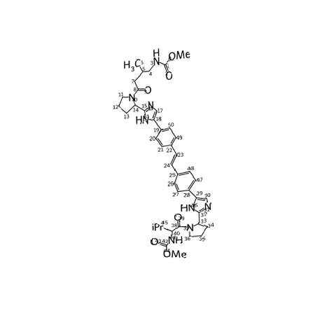 COC(=O)NCC(C)CC(=O)N1CCCC1c1ncc(-c2ccc(C=Cc3ccc(-c4cnc(C5CCCN5C(=O)C(NC(=O)OC)C(C)C)[nH]4)cc3)cc2)[nH]1